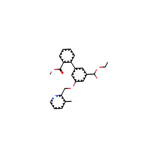 CCOC(O)c1cc(OCc2ncccc2C)cc(-c2ccccc2C(=O)OC)c1